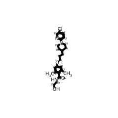 Cc1cc(OCCCC2CCN(c3ccc(Cl)cn3)CC2)cc(C)c1C(=O)NCCO